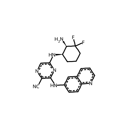 N#Cc1ncc(N[C@@H]2CCCC(F)(F)[C@@H]2N)nc1Nc1ccc2ncccc2c1